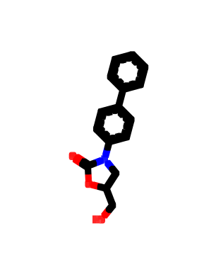 O=C1OC(CO)CN1c1ccc(-c2ccccc2)cc1